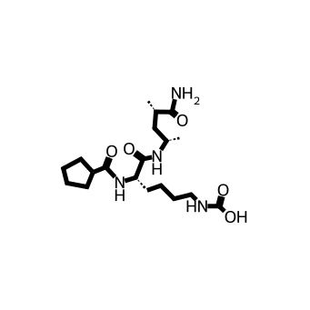 C[C@@H](C[C@H](C)C(N)=O)NC(=O)[C@H](CCCCNC(=O)O)NC(=O)C1CCCC1